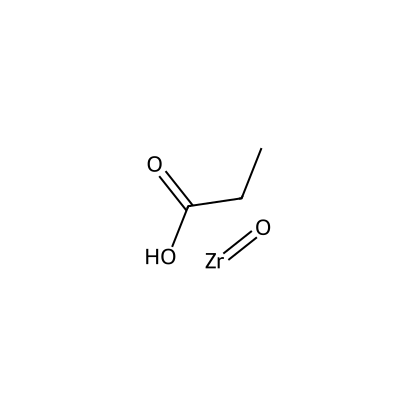 CCC(=O)O.[O]=[Zr]